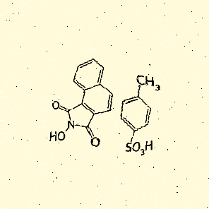 Cc1ccc(S(=O)(=O)O)cc1.O=C1c2ccc3ccccc3c2C(=O)N1O